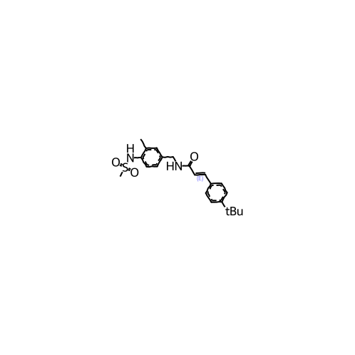 Cc1cc(CNC(=O)/C=C/c2ccc(C(C)(C)C)cc2)ccc1NS(C)(=O)=O